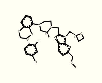 COCc1ccc2nc(CN3CCN(c4cccc5c4O[C@H](c4ccc(Cl)cc4F)CO5)C[C@@H]3C)n(C[C@@H]3CCO3)c2n1